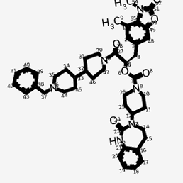 Cc1cc(C[C@@H](OC(=O)N2CCC(N3CCc4ccccc4NC3=O)CC2)C(=O)N2CCC(C3CCN(Cc4ccccc4)CC3)CC2)cc2oc(=O)n(C)c12